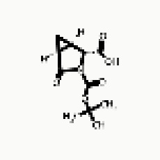 CC(C)(C)OC(=O)N1C(=O)[C@H]2C[C@H]2[C@@H]1C(=O)O